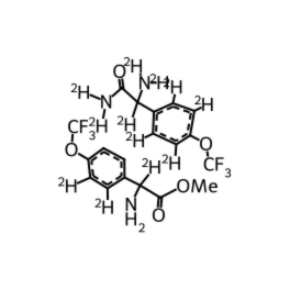 [2H]c1c(OC(F)(F)F)ccc(C([2H])(N)C(=O)OC)c1[2H].[2H]c1c([2H])c(C([2H])(C(=O)N([2H])[2H])N([2H])[2H])c([2H])c([2H])c1OC(F)(F)F